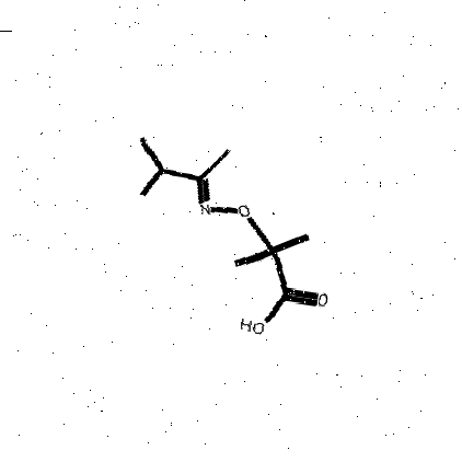 C/C(=N\OC(C)(C)C(=O)O)C(C)C